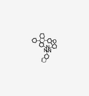 C1=Cc2cc(-c3nc(-c4ccccc4)nc(-c4cccc5oc6ccc(C7CC=C(c8ccccc8)c8ccccc87)cc6c45)n3)ccc2CC1